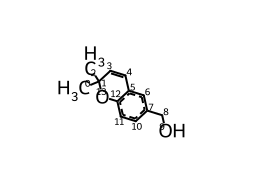 CC1(C)C=Cc2cc(CO)ccc2O1